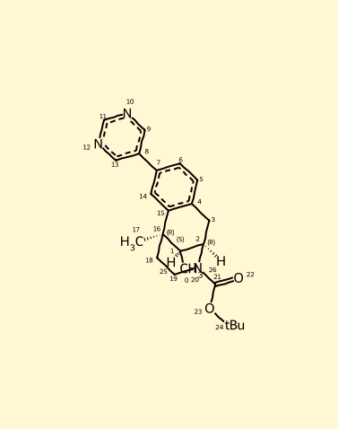 C[C@@H]1[C@H]2Cc3ccc(-c4cncnc4)cc3[C@]1(C)CCN2C(=O)OC(C)(C)C